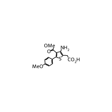 COC(=O)c1c(-c2ccc(OC)cc2)sc(CC(=O)O)c1N